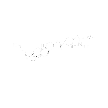 COP(OC1CCN(C(=O)O[C@H]2CC[C@@]3(C)C(=CC[C@H]4[C@@H]5CC[C@H]([C@H](C)CCCC(C)C)[C@@]5(C)CC[C@@H]43)C2)CC1)N(C(C)C)C(C)C